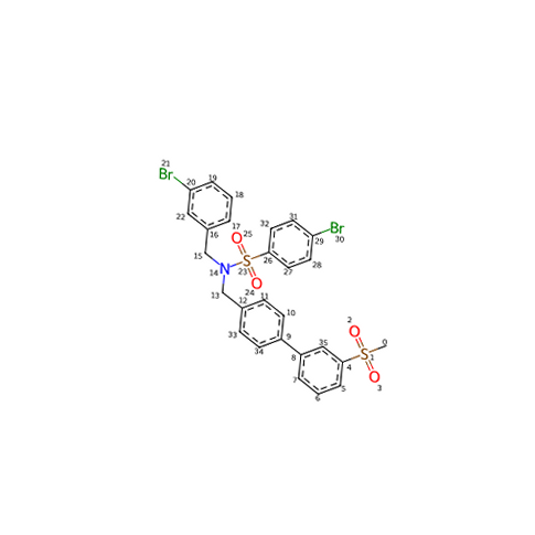 CS(=O)(=O)c1cccc(-c2ccc(CN(Cc3cccc(Br)c3)S(=O)(=O)c3ccc(Br)cc3)cc2)c1